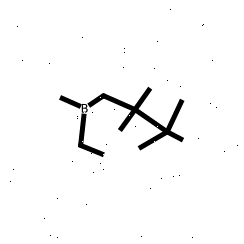 CCB(C)CC(C)(C)C(C)(C)C